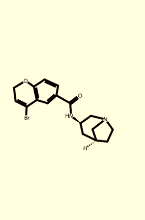 O=C(N[C@@H]1C[C@@H]2CCN(C2)C1)c1ccc2c(c1)C(Br)=CCO2